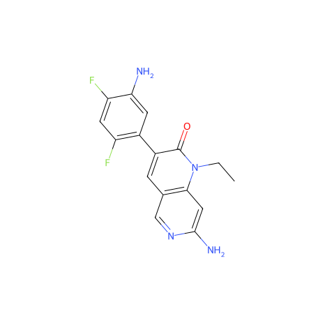 CCn1c(=O)c(-c2cc(N)c(F)cc2F)cc2cnc(N)cc21